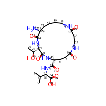 CC(C)[C@H](NC(=O)[C@@H]1CCC(=O)NCCC(=O)NCCCC[C@H](N)C(=O)N[C@@H](C(C)O)C(=O)N1)C(=O)O